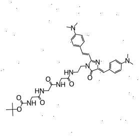 CN(C)c1ccc(/C=C2N=C(/C=C/c3ccc(N(C)C)cc3)N(CCNC(=O)CNC(=O)CNC(=O)CNC(=O)OC(C)(C)C)C\2=O)cc1